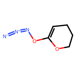 [N-]=[N+]=NOC1=CCCCO1